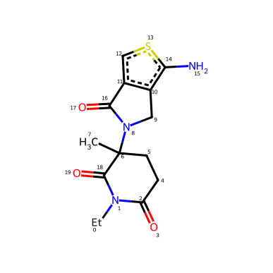 CCN1C(=O)CCC(C)(N2Cc3c(csc3N)C2=O)C1=O